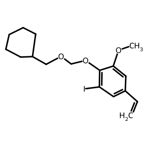 C=Cc1cc(I)c(OCOCC2CCCCC2)c(OC)c1